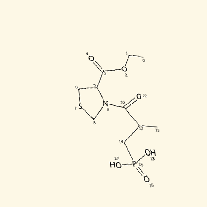 CCOC(=O)C1CSCN1C(=O)C(C)CP(=O)(O)O